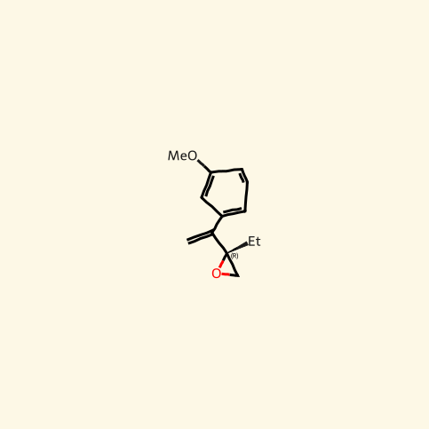 C=C(c1cccc(OC)c1)[C@]1(CC)CO1